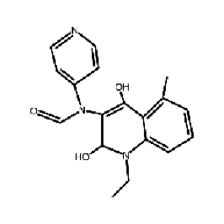 CCN1c2cccc(C)c2C(O)=C(N(C=O)c2ccncc2)C1O